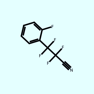 N#CC(F)(F)C(F)(F)c1ccccc1F